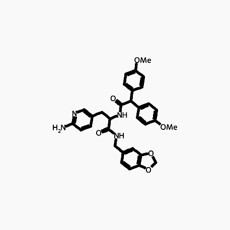 COc1ccc(C(C(=O)NC(Cc2ccc(N)nc2)C(=O)NCc2ccc3c(c2)OCO3)c2ccc(OC)cc2)cc1